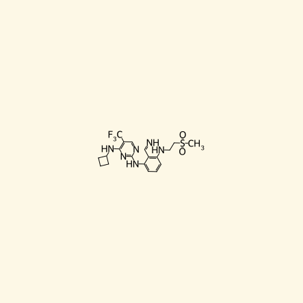 CS(=O)(=O)CCNc1cccc(Nc2ncc(C(F)(F)F)c(NC3CCC3)n2)c1C=N